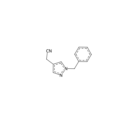 N#CCc1cnn(Cc2ccccc2)c1